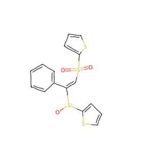 O=S(=O)(/C=C(\c1ccccc1)[S+]([O-])c1cccs1)c1cccs1